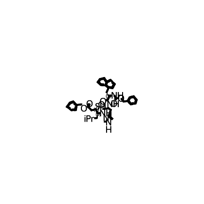 CC(C)C[C@H](NC(=O)C(Cc1c[nH]cn1)NC(=O)[C@H](Cc1cccc2ccccc12)NC(=O)OCc1ccccc1)[C@@H](S)CC(=O)OCc1ccccc1